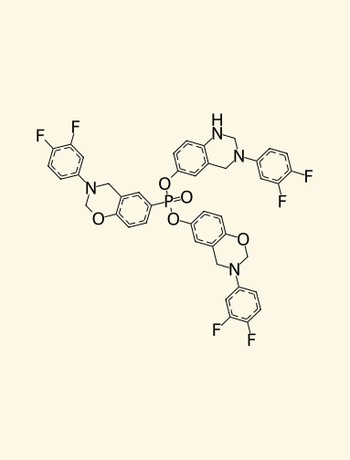 O=P(Oc1ccc2c(c1)CN(c1ccc(F)c(F)c1)CN2)(Oc1ccc2c(c1)CN(c1ccc(F)c(F)c1)CO2)c1ccc2c(c1)CN(c1ccc(F)c(F)c1)CO2